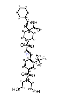 O=C1NC(C2CCCCC2)=NC12CCN(S(=O)(=O)/C=C/c1ccc(S(=O)(=O)N(CCO)CCO)cc1C(F)(F)F)CC2